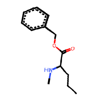 CCCC(NC)C(=O)OCc1ccccc1